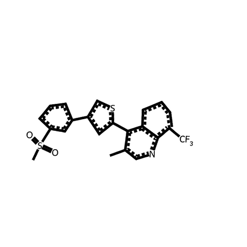 Cc1cnc2c(C(F)(F)F)cccc2c1-c1cc(-c2cccc(S(C)(=O)=O)c2)cs1